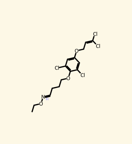 CCO/N=C/CCCOc1c(Cl)cc(OCC=C(Cl)Cl)cc1Cl